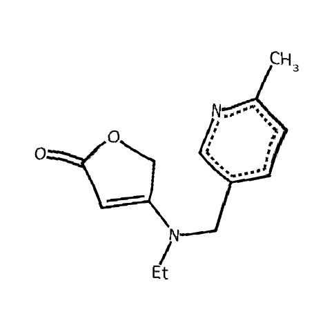 CCN(Cc1ccc(C)nc1)C1=CC(=O)OC1